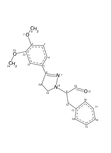 COc1ccc(C2=NN(C(C=O)Cc3ccccc3)CC2)cc1OC